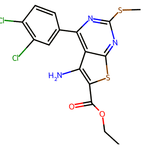 CCOC(=O)c1sc2nc(SC)nc(-c3ccc(Cl)c(Cl)c3)c2c1N